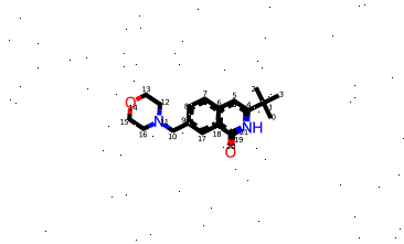 CC(C)(C)c1cc2ccc(CN3CCOCC3)cc2c(=O)[nH]1